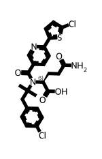 CC(C)(Cc1ccc(Cl)cc1)N(C(=O)c1ccc(-c2ccc(Cl)s2)nc1)[C@@H](CCC(N)=O)C(=O)O